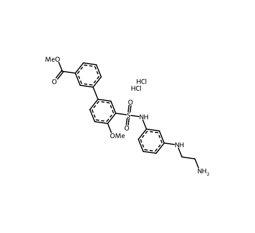 COC(=O)c1cccc(-c2ccc(OC)c(S(=O)(=O)Nc3cccc(NCCN)c3)c2)c1.Cl.Cl